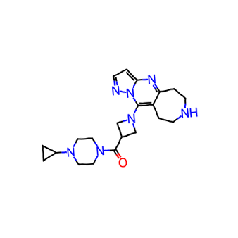 O=C(C1CN(c2c3c(nc4ccnn24)CCNCC3)C1)N1CCN(C2CC2)CC1